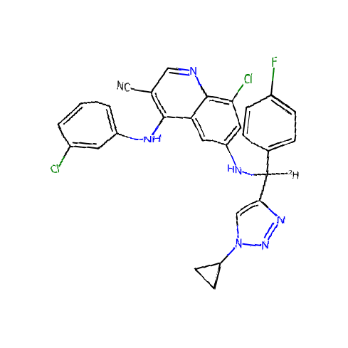 [2H]C(Nc1cc(Cl)c2ncc(C#N)c(Nc3cccc(Cl)c3)c2c1)(c1ccc(F)cc1)c1cn(C2CC2)nn1